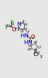 O=C(NCc1ccnc(OC(F)F)c1)NC1CCC(C(F)(F)F)C1